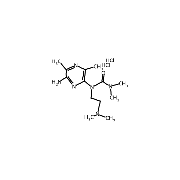 Cc1nc(C)c(N(CCN(C)C)C(=O)N(C)C)nc1N.Cl.Cl